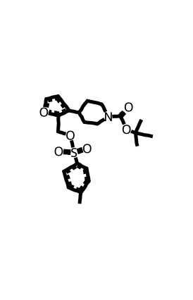 Cc1ccc(S(=O)(=O)OCc2occc2C2CCN(C(=O)OC(C)(C)C)CC2)cc1